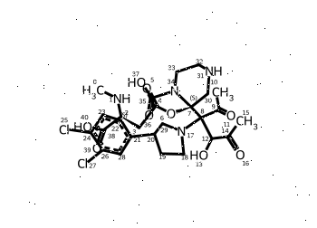 CN[C@@H](CC(=O)O[C@]1(C(C(C)=O)(C(O)C(C)=O)N2CCC(c3ccc(Cl)c(Cl)c3)C2)CNCCN1C(=O)O)C(=O)O